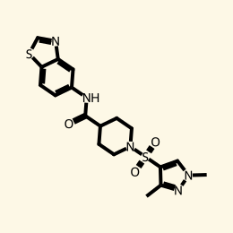 Cc1nn(C)cc1S(=O)(=O)N1CCC(C(=O)Nc2ccc3scnc3c2)CC1